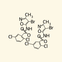 Cc1noc(NS(=O)(=O)c2cc(Cl)ccc2Cl)c1Br.Cc1noc(NS(=O)(=O)c2cc(Cl)ccc2Cl)c1Br